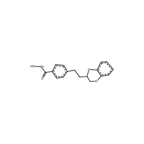 O=C(NO)c1ccc([CH]CC2COc3ccccc3O2)cc1